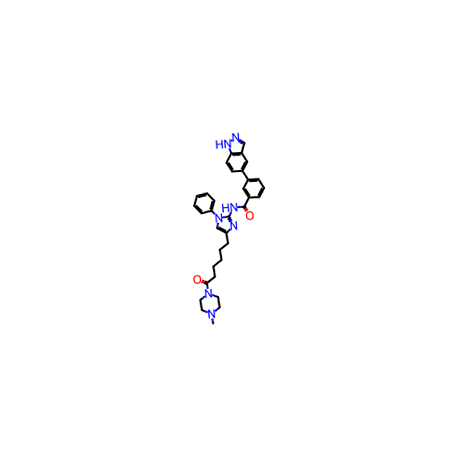 CN1CCN(C(=O)CCCCCc2cn(-c3ccccc3)c(NC(=O)c3cccc(-c4ccc5[nH]ncc5c4)c3)n2)CC1